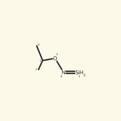 CC(C)ON=[SiH2]